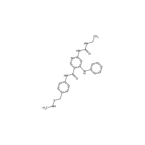 CCNC(=O)Nc1cc(Nc2ccccc2)c(C(=O)Nc2ccc(CSNC)cc2)cn1